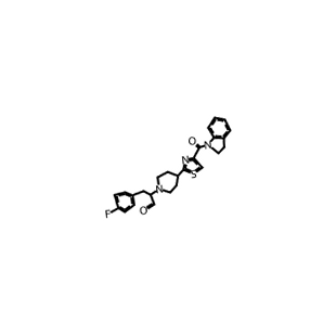 O=CC(Cc1ccc(F)cc1)N1CCC(c2nc(C(=O)N3CCc4ccccc43)cs2)CC1